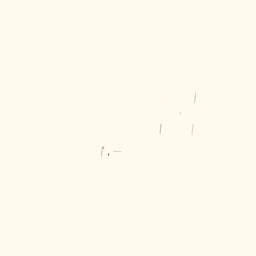 CCCC(C)(C)Nc1cccc(OC(F)(F)F)c1